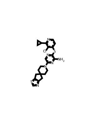 Nc1nc(N2CCC3(CC2)Cc2ncsc2C3)cnc1Sc1ccnc(C2CC2)c1Cl